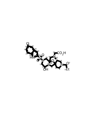 CCC(=O)N1CCC2(CC1)CN1[C@H](O)CN(S(=O)(=O)c3cc4cc(Cl)ccc4[nH]3)CC1(CN(C)CC(=O)O)O2